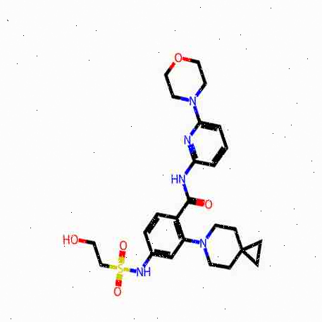 O=C(Nc1cccc(N2CCOCC2)n1)c1ccc(NS(=O)(=O)CCO)cc1N1CCC2(CC1)CC2